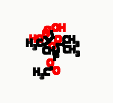 CC(=O)OCC=CC1(C(C)C)OC(C(=O)O)C(C(=O)O)(C(C)C)O1